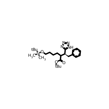 CC(C)(C)OC(=O)C(CCCCO[Si](C)(C)C(C)(C)C)[C@H](Cc1ccccc1)c1nnn[nH]1